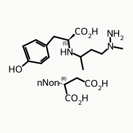 CC(CCN(C)N)N[C@@H](Cc1ccc(O)cc1)C(=O)O.CCCCCCCCC[C@H](CC(=O)O)C(=O)O